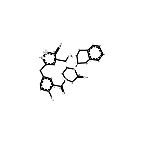 CCc1cc(Cc2ccc(F)c(C(=O)N3CCN([C@@H]4CCc5ccccc5C4)C(=O)C3)c2)n[nH]c1=O